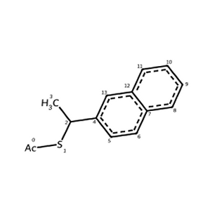 CC(=O)SC(C)c1ccc2ccccc2c1